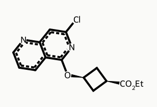 CCOC(=O)[C@H]1C[C@@H](Oc2nc(Cl)cc3ncccc23)C1